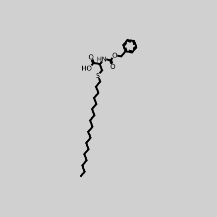 CCCCCCCCCCCCCCCCCCSCC(NC(=O)OCc1ccccc1)C(=O)O